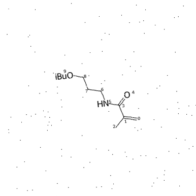 C=C(C)C(=O)NCCCOCC(C)C